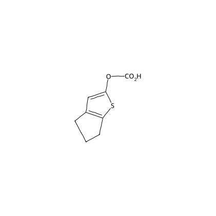 O=C(O)Oc1cc2c(s1)CCC2